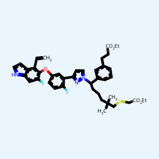 C=Cc1c(Oc2ccc(F)c(-c3ccn(C(CCCC(C)(C)CSCC(=O)OCC)c4cccc(CCC(=O)OCC)c4)n3)c2)c(F)cc2[nH]ccc12